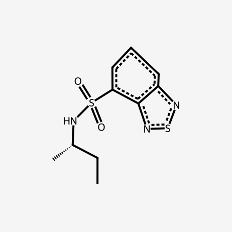 CC[C@H](C)NS(=O)(=O)c1cccc2nsnc12